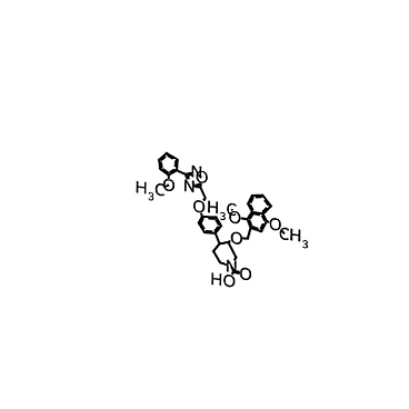 COc1ccccc1-c1noc(COc2ccc(C3CCN(C(=O)O)CC3OCc3cc(OC)c4ccccc4c3OC)cc2)n1